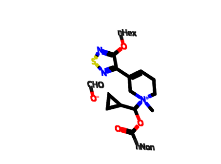 CCCCCCCCCC(=O)OC(C1CC1)[N+]1(C)CCC=C(c2nsnc2OCCCCCC)C1.O=C[O-]